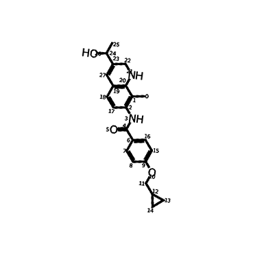 Cc1c(NC(=O)c2ccc(OCC3CC3)cc2)ccc2c1NCC(C(C)O)=C2